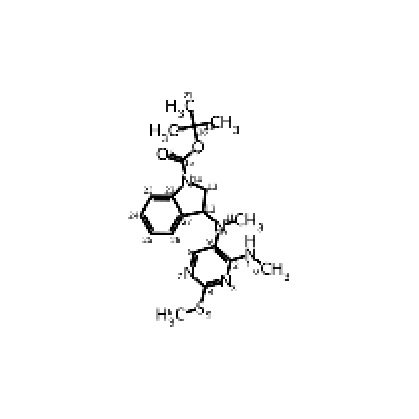 CNc1nc(SC)ncc1N(C)C1CN(C(=O)OC(C)(C)C)c2ccccc21